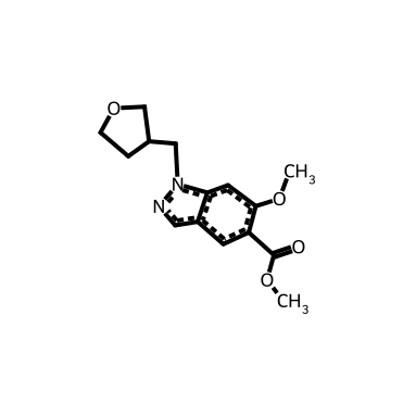 COC(=O)c1cc2cnn(CC3CCOC3)c2cc1OC